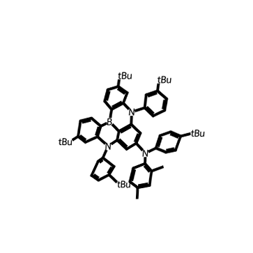 Cc1ccc(N(c2ccc(C(C)(C)C)cc2)c2cc3c4c(c2)N(c2cccc(C(C)(C)C)c2)c2cc(C(C)(C)C)ccc2B4c2ccc(C(C)(C)C)cc2N3c2cccc(C(C)(C)C)c2)c(C)c1